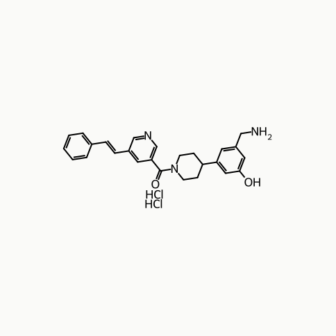 Cl.Cl.NCc1cc(O)cc(C2CCN(C(=O)c3cncc(C=Cc4ccccc4)c3)CC2)c1